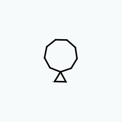 [CH]1CC12CCCCCCCC2